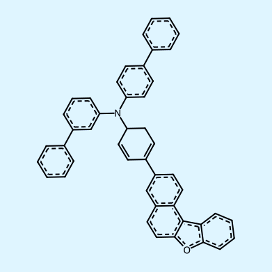 C1=CC(N(c2ccc(-c3ccccc3)cc2)c2cccc(-c3ccccc3)c2)CC=C1c1ccc2c(ccc3oc4ccccc4c32)c1